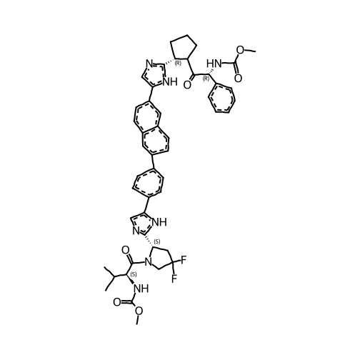 COC(=O)N[C@H](C(=O)N1CC(F)(F)C[C@H]1c1ncc(-c2ccc(-c3ccc4cc(-c5cnc([C@@H]6CCCC6C(=O)[C@H](NC(=O)OC)c6ccccc6)[nH]5)ccc4c3)cc2)[nH]1)C(C)C